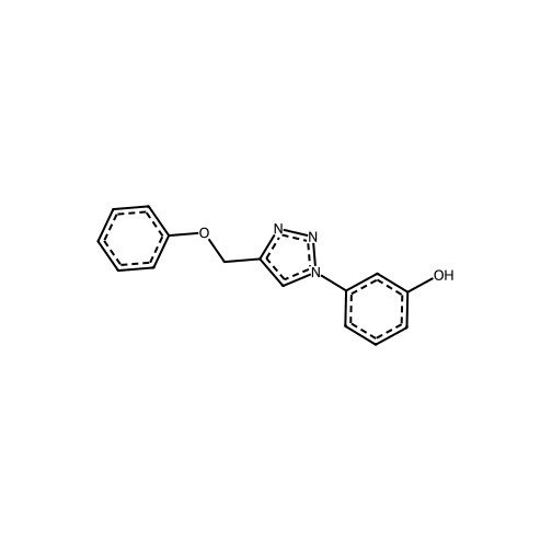 Oc1cccc(-n2cc(COc3ccccc3)nn2)c1